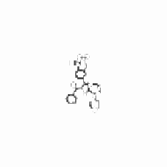 O=C(c1ccccc1)c1nc2c(N3CCOCC3)nccn2c1-c1ccc2c(c1)CS(=O)(=O)N2